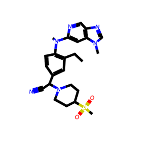 CCc1cc(C(C#N)N2CCC(S(C)(=O)=O)CC2)ccc1N(C)c1cc2c(cn1)ncn2C